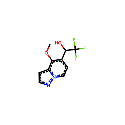 COc1c(C(O)C(F)(F)F)ccn2nccc12